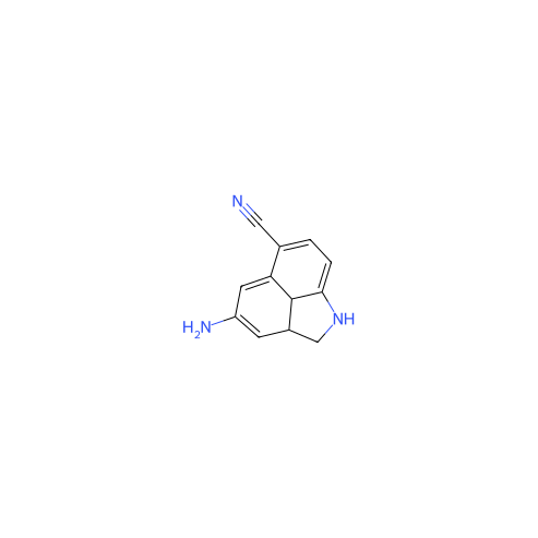 N#CC1=CC=C2NCC3C=C(N)C=C1C23